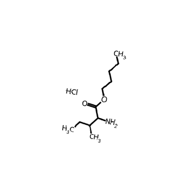 CCCCCOC(=O)C(N)C(C)CC.Cl